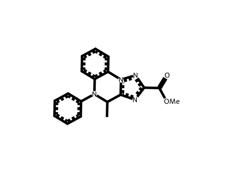 COC(=O)c1nc2n(n1)-c1ccccc1N(c1ccccc1)C2C